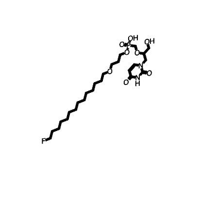 O=c1ccn(CC(CO)OCP(=O)(O)OCCCOCCCCCCCCCCCCCCF)c(=O)[nH]1